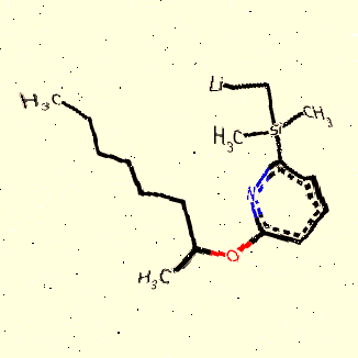 [Li][CH2][Si](C)(C)c1cccc(OC(C)CCCCCC)n1